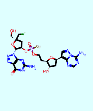 Nc1nc2c(nnn2[C@@H]2O[C@@](CO)(CF)C[C@H]2OP(=O)(S)OCC[C@H]2O[C@@H](c3cnn4c(N)ncnc34)C[C@@H]2O)c(=O)[nH]1